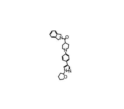 O=C(C1CCN(c2ccc(-c3cnn(C4CCCCO4)c3)cc2)CC1)N1Cc2ccccc2C1